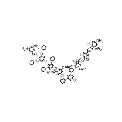 Brc1nc(-c2ccccc2)nc(-c2ccccc2)n1.COc1nc(Cl)nc(OC)n1.COc1nc(OC)nc([N+]2(C)CCOCC2)n1.Clc1nc(-c2ccccc2)nc(-c2ccccc2)n1.Clc1nc(Cl)nc(N2CCOCC2)n1.Clc1nc(OCc2ccccc2)nc(OCc2ccccc2)n1.Nc1nc(N)nc(Cl)n1.Nc1nc(N)nc(N)n1